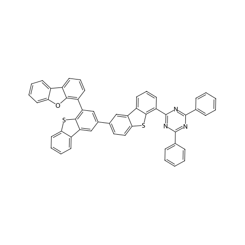 c1ccc(-c2nc(-c3ccccc3)nc(-c3cccc4c3sc3ccc(-c5cc(-c6cccc7c6oc6ccccc67)c6sc7ccccc7c6c5)cc34)n2)cc1